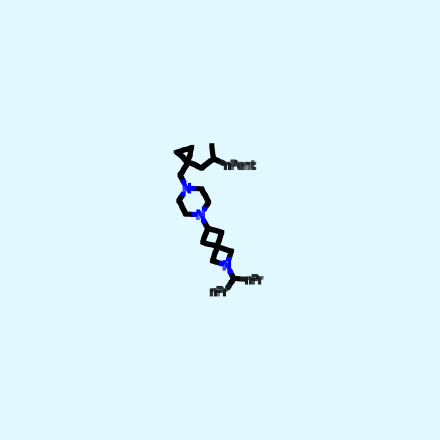 CCCCCC(C)CC1(CN2CCN(C3CC4(C3)CN(C(CCC)CCC)C4)CC2)CC1